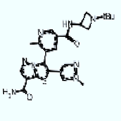 Cc1ncc(C(=O)NC2CN(C(C)(C)C)C2)cc1-c1c(-c2cnn(C)c2)sc2c(C(N)=O)cnn12